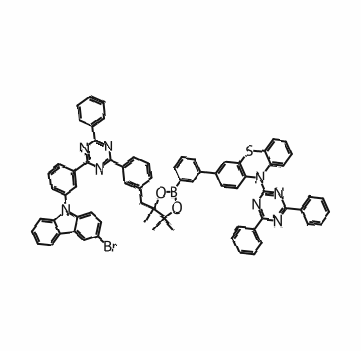 CC1(C)OB(c2cccc(-c3ccc4c(c3)Sc3ccccc3N4c3nc(-c4ccccc4)nc(-c4ccccc4)n3)c2)OC1(C)Cc1cccc(-c2nc(-c3ccccc3)nc(-c3cccc(-n4c5ccccc5c5cc(Br)ccc54)c3)n2)c1